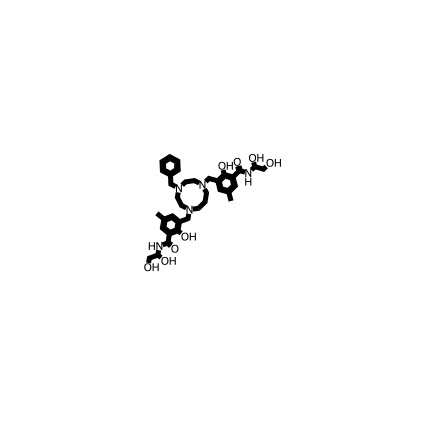 Cc1cc(CN2CCCN(Cc3cc(C)cc(C(=O)NC(O)CO)c3O)CCN(Cc3ccccc3)CC2)c(O)c(C(=O)NC(O)CO)c1